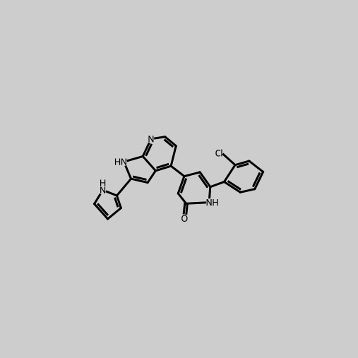 O=c1cc(-c2ccnc3[nH]c(-c4ccc[nH]4)cc23)cc(-c2ccccc2Cl)[nH]1